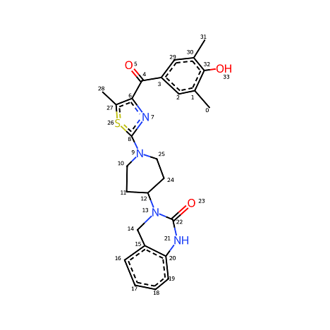 Cc1cc(C(=O)c2nc(N3CCC(N4Cc5ccccc5NC4=O)CC3)sc2C)cc(C)c1O